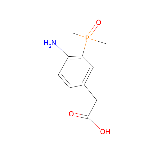 CP(C)(=O)c1cc(CC(=O)O)ccc1N